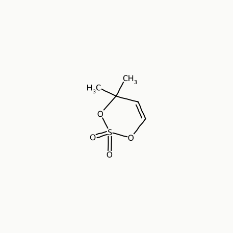 CC1(C)C=COS(=O)(=O)O1